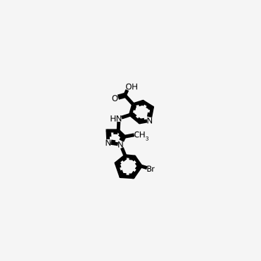 Cc1c(Nc2cnccc2C(=O)O)cnn1-c1cccc(Br)c1